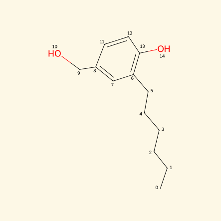 CCCCCCc1cc(CO)ccc1O